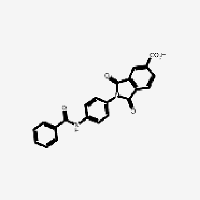 O=C(O)c1ccc2c(c1)C(=O)N(c1ccc(NC(=O)c3ccccc3)cc1)C2=O